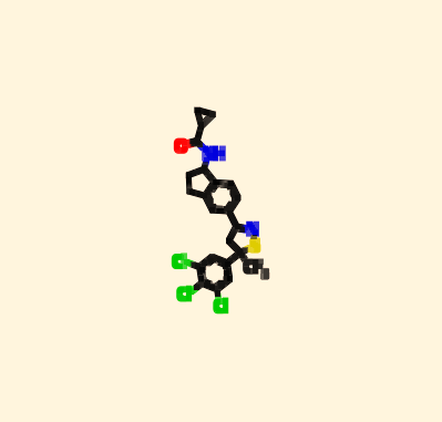 O=C(NC1CCc2cc(C3=NSC(c4cc(Cl)c(Cl)c(Cl)c4)(C(F)(F)F)C3)ccc21)C1CC1